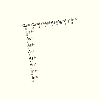 [Ag+].[Ag+].[Ag+].[As-3].[As-3].[As-3].[As-3].[As-3].[As-3].[As-3].[Ga+3].[Ga+3].[Ga+3].[In+3].[In+3].[In+3]